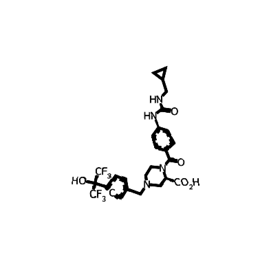 O=C(NCC1CC1)Nc1ccc(C(=O)N2CCN(Cc3ccc(C(O)(C(F)(F)F)C(F)(F)F)cc3)CC2C(=O)O)cc1